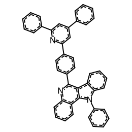 c1ccc(-c2cc(-c3ccccc3)nc(-c3ccc(-c4nc5ccccc5c5c4c4ccccc4n5-c4ccccc4)cc3)c2)cc1